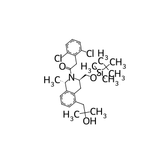 C[C@H]1c2cccc(CC(C)(C)O)c2C[C@H](CO[Si](C)(C)C(C)(C)C)N1C(=O)Cc1c(Cl)cccc1Cl